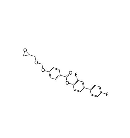 O=C(Oc1ccc(-c2ccc(F)cc2)cc1F)c1ccc(OCOCC2CO2)cc1